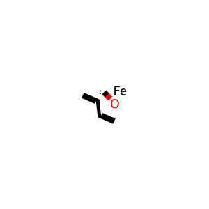 C=CC=C.[C]=O.[Fe]